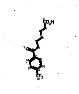 O=C(O)CCCCCC(=O)c1ccc(C(F)(F)F)cc1